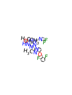 Cc1nc2c(OCc3c(F)cccc3F)cccn2c1-c1nc(NCCN2CCC(F)(F)C2)c2c(n1)NC(=O)C2(C)C